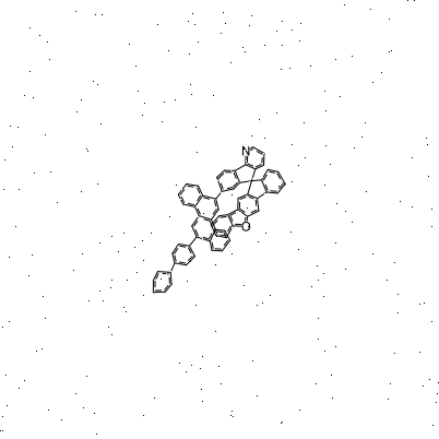 c1ccc(-c2ccc(-c3cc4c5ccccc5c(-c5ccc6c(c5)C5(c7ccccc7-c7cc8oc9ccccc9c8cc75)c5cccnc5-6)cc4c4ccccc34)cc2)cc1